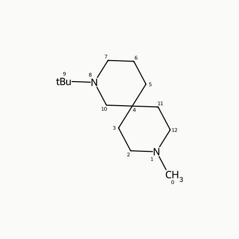 CN1CCC2(CCCN(C(C)(C)C)C2)CC1